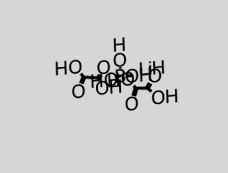 O=C(O)C(=O)O.O=C(O)C(=O)O.OB(O)O.[LiH]